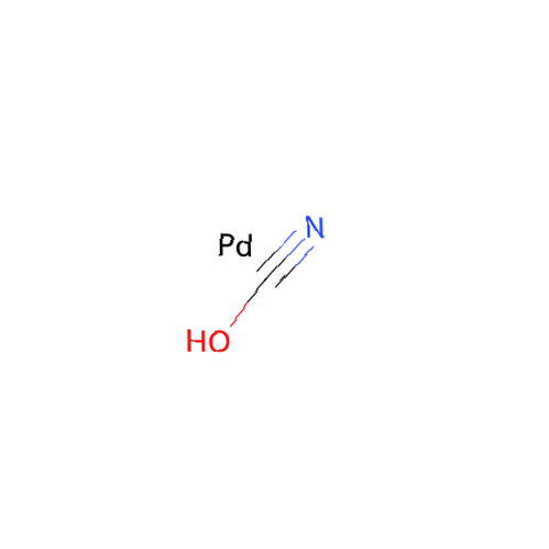 N#CO.[Pd]